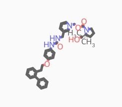 CC(C)(O)[C@@H]1CCCN1C(=O)OC[n+]1cccc(CNC(=O)Nc2ccc(OCCc3ccccc3-c3ccccc3)cc2)c1